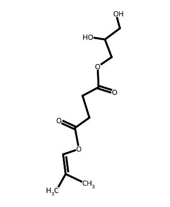 CC(C)=COC(=O)CCC(=O)OCC(O)CO